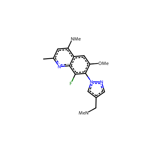 CNCc1cnn(-c2c(OC)cc3c(NC)cc(C)nc3c2F)c1